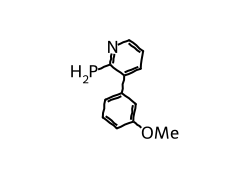 COc1cccc(-c2cccnc2P)c1